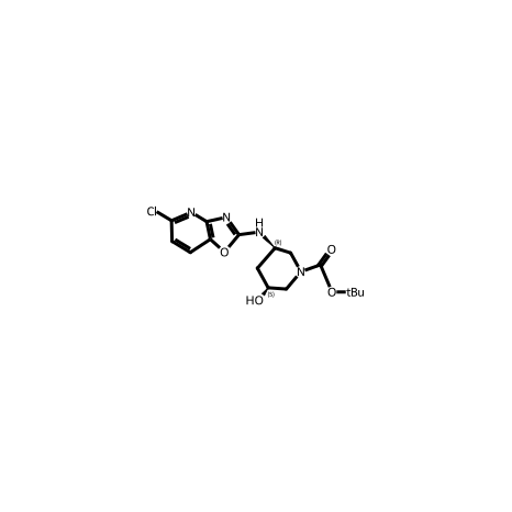 CC(C)(C)OC(=O)N1C[C@@H](O)C[C@@H](Nc2nc3nc(Cl)ccc3o2)C1